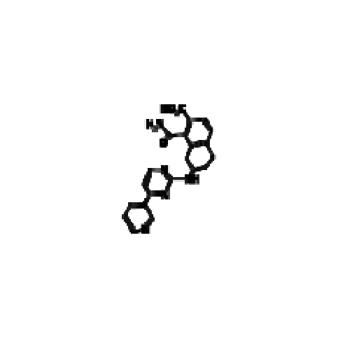 NC(=O)c1c(C(=O)O)ccc2c1CC(Nc1nccc(-c3cccnc3)n1)CC2